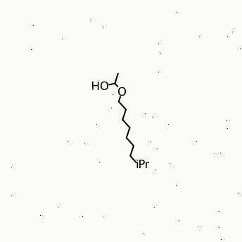 CC(C)CCCCCCCOC(C)O